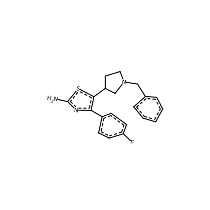 Nc1nc(-c2ccc(F)cc2)c(C2CCN(Cc3ccccc3)C2)s1